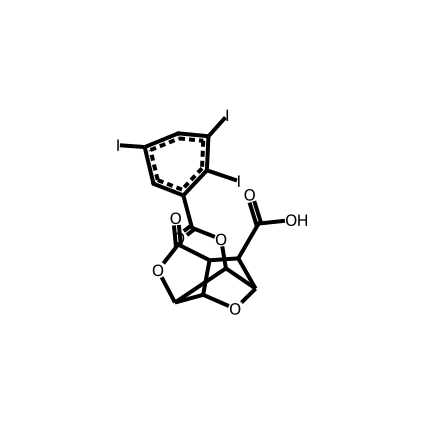 O=C(OC1C2OC(=O)C3C2OC1C3C(=O)O)c1cc(I)cc(I)c1I